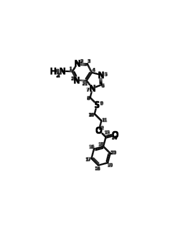 Nc1ncc2ncn(CSCCOC(=O)c3ccccc3)c2n1